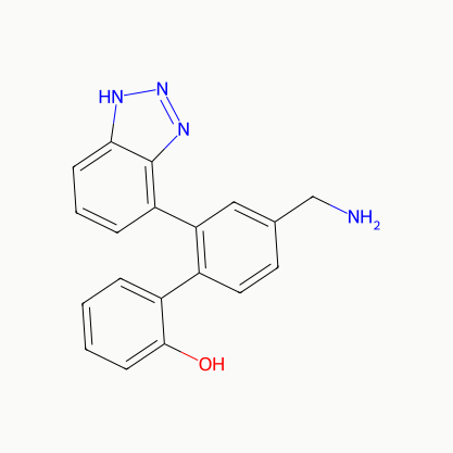 NCc1ccc(-c2ccccc2O)c(-c2cccc3[nH]nnc23)c1